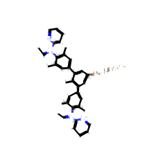 CC=[N+](c1ccccn1)c1c(C)cc(-c2cc(Br)cc(-c3cc(C)c([N+](=CC)c4ccccn4)c(C)c3)c2C)cc1C.[Br-].[Br-].[Br-].[Br-].[Ni].[Ni]